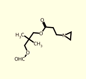 CC(C)(COC=O)COC(=O)CCN1CC1